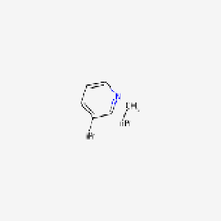 CC(C)c1cccnc1.CCCC